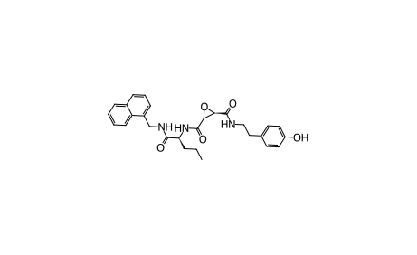 CCC[C@H](NC(=O)C1O[C@H]1C(=O)NCCc1ccc(O)cc1)C(=O)NCc1cccc2ccccc12